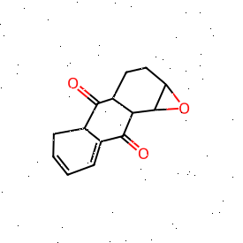 O=C1C2CC=CC=C2C(=O)C2C1CCC1OC12